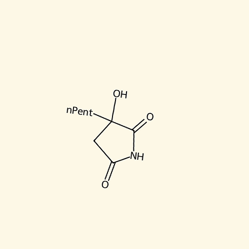 CCCCCC1(O)CC(=O)NC1=O